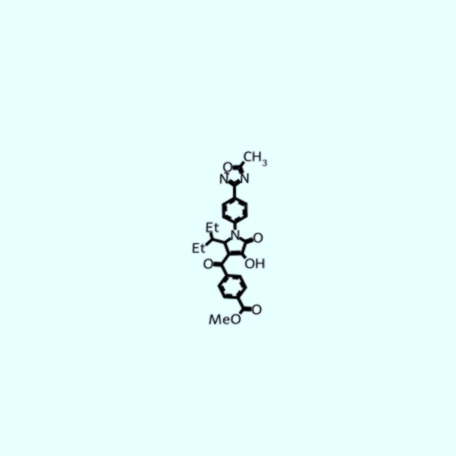 CCC(CC)C1C(C(=O)c2ccc(C(=O)OC)cc2)=C(O)C(=O)N1c1ccc(-c2noc(C)n2)cc1